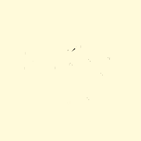 Cc1c([C@@H](C)Nc2nc3nccn3c3cnc(Cl)cc23)cccc1C(F)(F)F